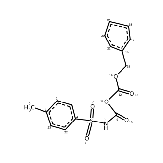 Cc1ccc(S(=O)(=O)NC(=O)OC(=O)OCc2ccccc2)cc1